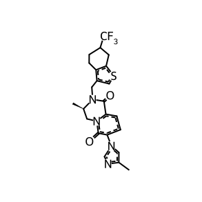 Cc1cn(-c2ccc3n(c2=O)C[C@@H](C)N(Cc2csc4c2CCC(C(F)(F)F)C4)C3=O)cn1